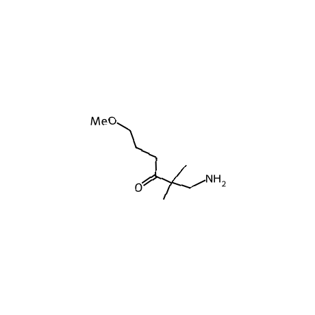 COCCCC(=O)C(C)(C)CN